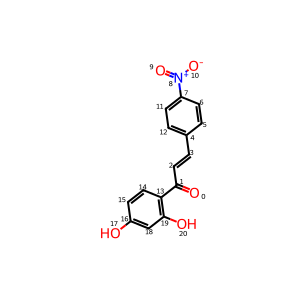 O=C(/C=C/c1ccc([N+](=O)[O-])cc1)c1ccc(O)cc1O